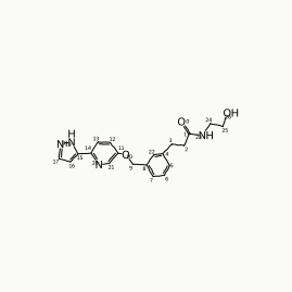 O=C(CCc1cccc(COc2ccc(-c3ccn[nH]3)nc2)c1)NCCO